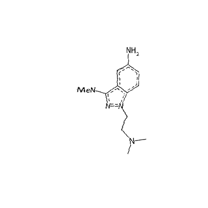 CNc1nn(CCN(C)C)c2ccc(N)cc12